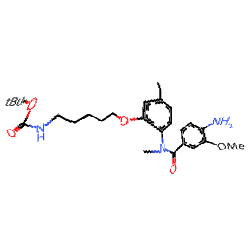 COc1cc(C(=O)N(C)c2ccc(C)cc2OCCCCCNC(=O)OC(C)(C)C)ccc1N